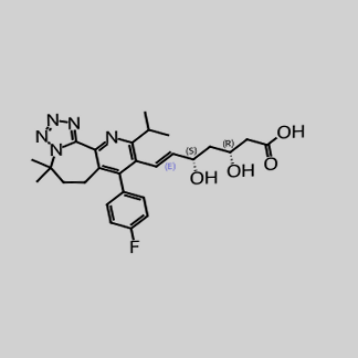 CC(C)c1nc2c(c(-c3ccc(F)cc3)c1/C=C/[C@@H](O)C[C@@H](O)CC(=O)O)CCC(C)(C)n1nnnc1-2